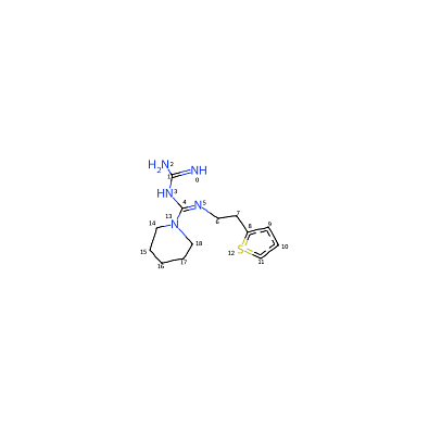 N=C(N)N/C(=N/CCc1cccs1)N1CCCCC1